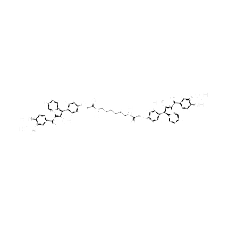 Cc1c(-c2ccc(OCC(=O)NCCCCCCNC(=O)COc3ccc(-c4c(C)c(C(=O)c5ccc(N)c(C(=O)O)c5)n5ccccc45)cc3)cc2)c2ccccn2c1C(=O)c1ccc(N)c(C(=O)O)c1